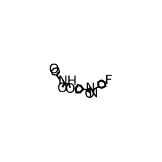 O=C(COc1ccc(-c2nc(-c3ccc(F)cc3)no2)cc1)NCC1=CCOCC1